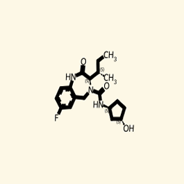 CC[C@H](C)[C@H]1C(=O)Nc2ccc(F)cc2CN1C(=O)N[C@H]1CC[C@H](O)C1